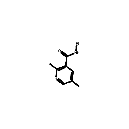 CCNC(=O)c1cc(C)cnc1C